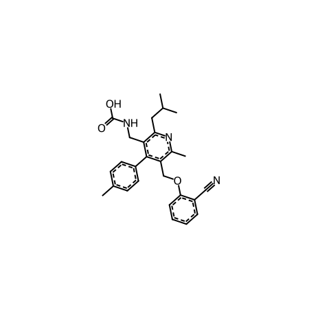 Cc1ccc(-c2c(COc3ccccc3C#N)c(C)nc(CC(C)C)c2CNC(=O)O)cc1